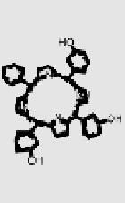 Oc1cccc(-c2c3nc(c(-c4cccc(O)c4)c4ccc([nH]4)c(-c4cccc(O)c4)c4nc(c(-c5ccccc5)c5ccc2[nH]5)CC4)C=C3)c1